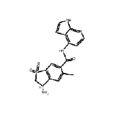 Cc1cc2c(cc1C(=O)Nc1ccnc3[nH]ccc13)S(=O)(=O)C[C@H]2N